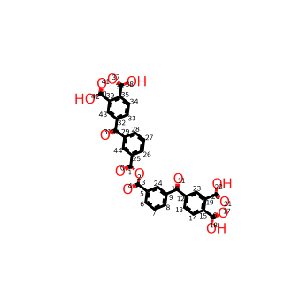 O=C(OC(=O)c1cccc(C(=O)c2ccc(C(=O)O)c(C(=O)O)c2)c1)c1cccc(C(=O)c2ccc(C(=O)O)c(C(=O)O)c2)c1